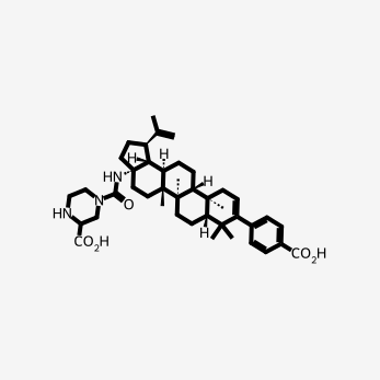 C=C(C)[C@@H]1CC[C@]2(NC(=O)N3CCNC(C(=O)O)C3)CC[C@]3(C)[C@H](CC[C@@H]4[C@@]5(C)CC=C(c6ccc(C(=O)O)cc6)C(C)(C)[C@@H]5CC[C@]43C)[C@@H]12